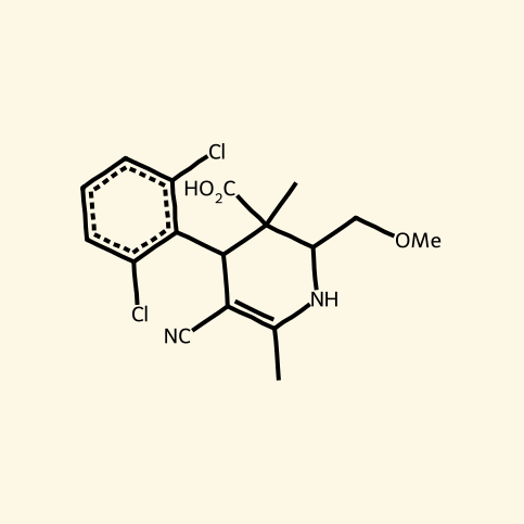 COCC1NC(C)=C(C#N)C(c2c(Cl)cccc2Cl)C1(C)C(=O)O